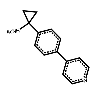 CC(=O)NC1(c2ccc(-c3ccncc3)cc2)CC1